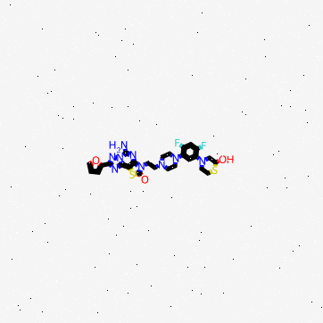 Nc1nc2c(sc(=O)n2CCN2CCN(c3cc(N4CCSC(O)C4)c(F)cc3F)CC2)c2nc(-c3ccco3)nn12